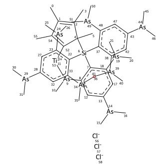 CC1=C(C)C(C)([Si](c2c([As](C)C)cc([As](C)C)cc2[As](C)C)(c2c([As](C)C)cc([As](C)C)cc2[As](C)C)c2c([As](C)C)cc([As](C)C)cc2[As](C)C)[C]([Ti+3])=C1C.[Cl-].[Cl-].[Cl-]